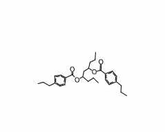 CCCc1ccc(C(=O)OC(CCC)CC(CCC)OC(=O)c2ccc(CCC)cc2)cc1